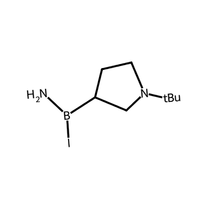 CC(C)(C)N1CCC(B(N)I)C1